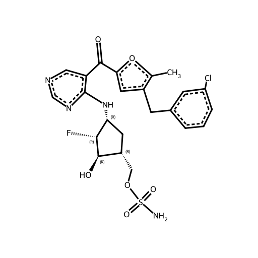 Cc1oc(C(=O)c2cncnc2N[C@@H]2C[C@H](COS(N)(=O)=O)[C@@H](O)[C@@H]2F)cc1Cc1cccc(Cl)c1